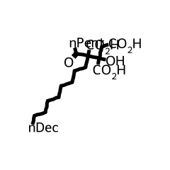 CCCCCCCCCCCCCCCCCCC(C(=O)O)(C(=O)CCCCC)C(O)(CC(=O)O)C(=O)O